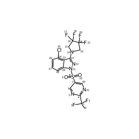 CC(F)(F)c1ncc(S(=O)(=O)n2nc(N3CC(F)(F)C(F)(F)C3)c3c(Cl)cccc32)cn1